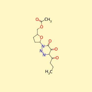 CCCC(=O)C1N=NN(C2CCC(COC(C)=O)O2)C(=O)C1=O